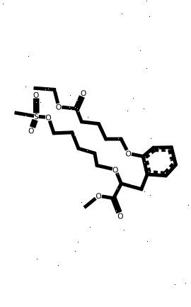 CCOC(=O)CCCCOc1ccccc1CC(OCCCCCOS(C)(=O)=O)C(=O)OC